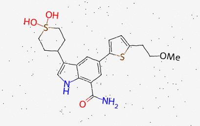 COCCc1ccc(-c2cc(C(N)=O)c3[nH]cc(C4CCS(O)(O)CC4)c3c2)s1